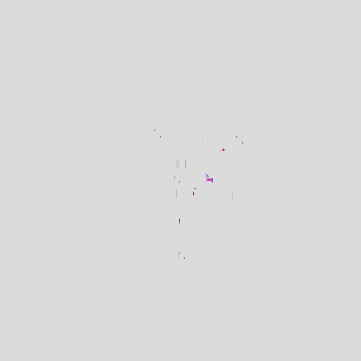 CC(C)(C)OC(=O)N1C2CCC1CC(c1nc(OC[C@@]34CCCN3C[C@H](F)C4)nc3c1CCN(c1cccc4ccc(F)c(Cl)c14)C3)C2